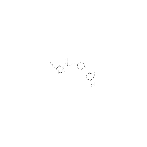 COc1cc(NCCc2ccc(Oc3ccc(C(F)(F)F)cn3)cc2)ncn1